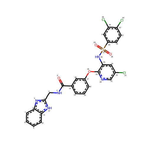 O=C(NCc1nc2ccccc2[nH]1)c1cccc(Oc2ncc(Cl)cc2NS(=O)(=O)c2ccc(Cl)c(Cl)c2)c1